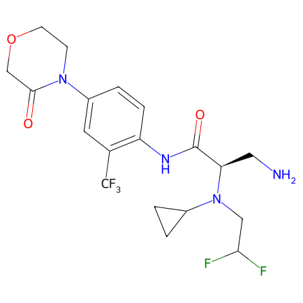 NC[C@H](C(=O)Nc1ccc(N2CCOCC2=O)cc1C(F)(F)F)N(CC(F)F)C1CC1